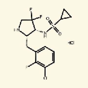 Cl.O=S(=O)(N[C@@H]1[C@H](Cc2cccc(Cl)c2F)NCC1(F)F)C1CC1